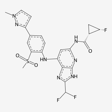 Cn1ccc(-c2ccc(Nc3cc(NC(=O)[C@@H]4C[C@@H]4F)nc4[nH]c(C(F)F)nc34)c(S(C)(=O)=O)c2)n1